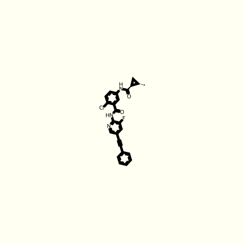 C[C@H]1C[C@@H]1C(=O)Nc1ccc(Cl)c(C(=O)Nc2ncc(C#Cc3ccccc3)cc2F)c1